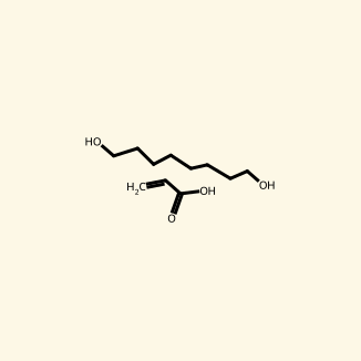 C=CC(=O)O.OCCCCCCCCO